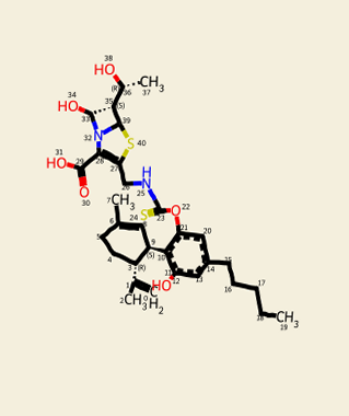 C=C(C)[C@@H]1CCC(C)=C[C@H]1c1c(O)cc(CCCCC)cc1OC(=S)NCC1=C(C(=O)O)N2C(O)[C@H]([C@@H](C)O)C2S1